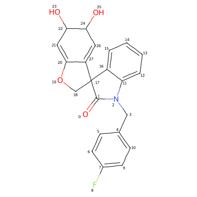 O=C1N(Cc2ccc(F)cc2)c2ccccc2C12COC1=CC(O)C(O)C=C12